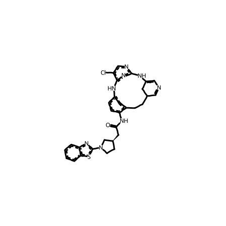 O=C(C[C@H]1CCN(c2nc3ccccc3s2)C1)Nc1ccc2cc1CCC1C=NC=C(C1)Nc1ncc(Cl)c(n1)N2